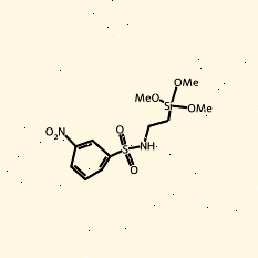 CO[Si](CCNS(=O)(=O)c1cccc([N+](=O)[O-])c1)(OC)OC